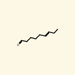 CCC=CCCCC[C]=O